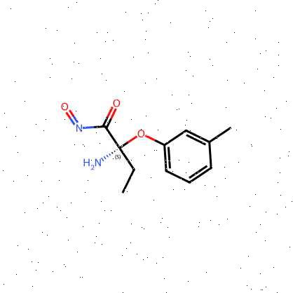 CC[C@](N)(Oc1cccc(C)c1)C(=O)N=O